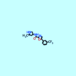 C[C@@H]1C[C@@H](NC(=O)c2ncc(-c3cccc(C(F)(F)F)c3)o2)CN1